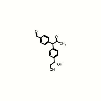 CC(=O)C(c1ccc([C]=O)cc1)c1ccc([C@H](O)CO)cc1